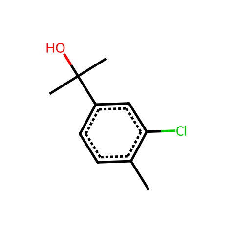 Cc1ccc(C(C)(C)O)cc1Cl